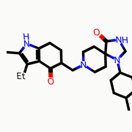 CCc1c(C)[nH]c2c1C(=O)C(CN1CCC3(CC1)C(=O)NCN3C1CCC(C)CC1)CC2